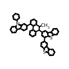 CC1c2cccc(-c3ccc4c5ccccc5n(-c5ccccc5)c4c3)c2-c2ccccc2C1c1cc(-c2ccc3sc4ccccc4c3c2)c2sc3ccccc3c2c1